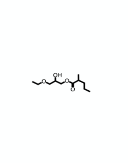 CCCC(C)C(=O)OCC(O)COCC